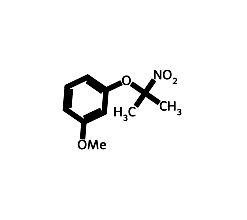 COc1cccc(OC(C)(C)[N+](=O)[O-])c1